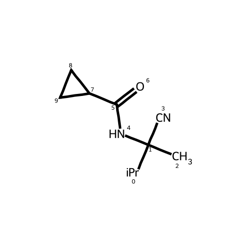 CC(C)C(C)(C#N)NC(=O)C1CC1